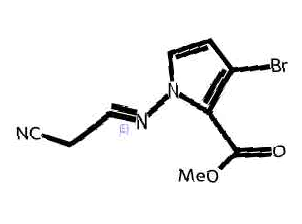 COC(=O)c1c(Br)ccn1/N=C/CC#N